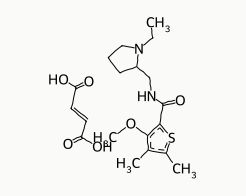 CCN1CCCC1CNC(=O)c1sc(C)c(C)c1OC.O=C(O)C=CC(=O)O